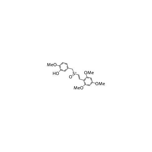 COc1cc(OC)c(C=C[S+]([O-])Cc2ccc(OC)c(O)c2)c(OC)c1